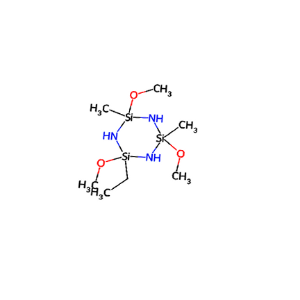 CC[Si]1(OC)N[Si](C)(OC)N[Si](C)(OC)N1